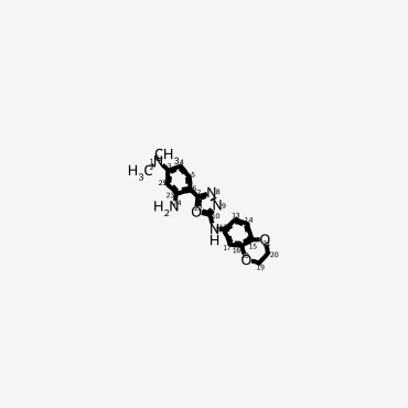 CN(C)c1ccc(-c2nnc(Nc3ccc4c(c3)OCCO4)o2)c(N)c1